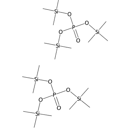 C[Si](C)(C)OP(=O)(O[Si](C)(C)C)O[Si](C)(C)C.C[Si](C)(C)OP(=O)(O[Si](C)(C)C)O[Si](C)(C)C